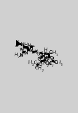 CC(C)OC(=O)C(C)NP(=O)(COCCn1cnc2c(NC3CC3)nc(N)nc21)NC(C)C(=O)OC(C)C